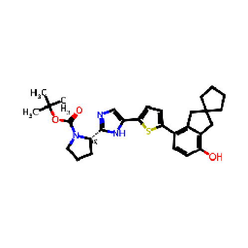 CC(C)(C)OC(=O)N1CCC[C@H]1c1ncc(-c2ccc(-c3ccc(O)c4c3CC3(CCCC3)C4)s2)[nH]1